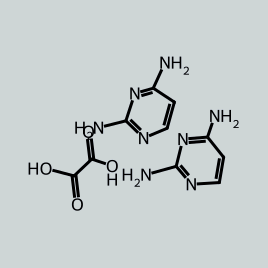 Nc1ccnc(N)n1.Nc1ccnc(N)n1.O=C(O)C(=O)O